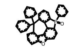 O=P1(c2ccccc2)c2cccc3c2-c2c1ccc1oc4cccc(c4c21)C3(c1ccccc1)c1ccccc1